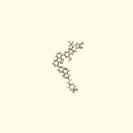 COc1nc(-c2cccc(-c3cccc(-c4ccn5c(=O)c(CNCCN6CCS(=O)(=O)CC6)cnc5c4)c3Cl)c2Cl)ccc1CN(C[C@@H]1CCC(=O)N1)C(=O)OC(C)(C)C